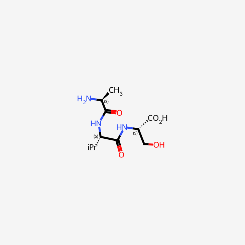 CC(C)[C@H](NC(=O)[C@H](C)N)C(=O)N[C@@H](CO)C(=O)O